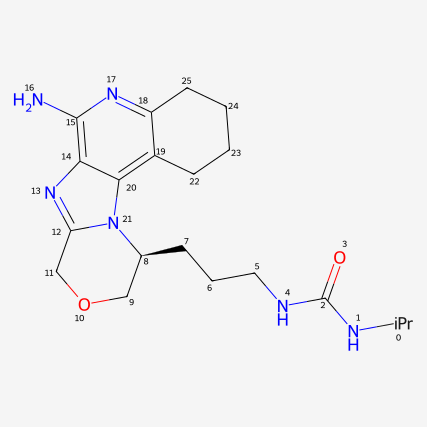 CC(C)NC(=O)NCCC[C@H]1COCc2nc3c(N)nc4c(c3n21)CCCC4